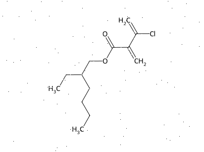 C=C(Cl)C(=C)C(=O)OCC(CC)CCCC